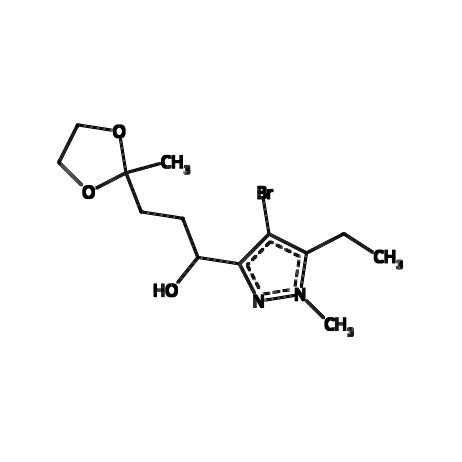 CCc1c(Br)c(C(O)CCC2(C)OCCO2)nn1C